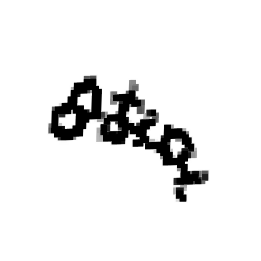 COC(=O)c1cc(NC(=O)c2cnn(-c3cncc4ccccc34)c2C(F)(F)F)ccn1